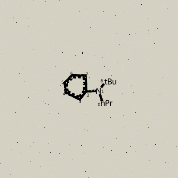 CCCN(c1ccccc1)C(C)(C)C